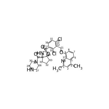 Cc1cc(C)c2cccc(OCc3c(Cl)ccc(S(=O)(=O)NC4(C(=O)N5CCNCC5)CCCC4)c3Cl)c2n1